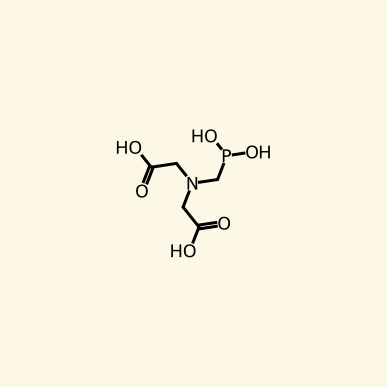 O=C(O)CN(CC(=O)O)CP(O)O